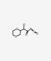 O=C=NC(=O)C(Cl)C1COCCO1